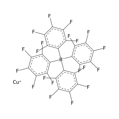 Fc1c(F)c(F)c([B-](c2c(F)c(F)c(F)c(F)c2F)(c2c(F)c(F)c(F)c(F)c2F)c2c(F)c(F)c(F)c(F)c2F)c(F)c1F.[Cu+]